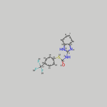 O=C(Nc1nc2ccccc2[nH]1)Sc1ccc(C(F)(F)F)cc1